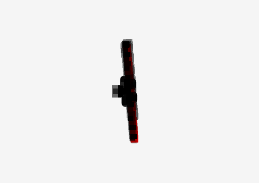 CCCCCCCCCCCCCCCCCC(=O)OCCN(O)CCOC(=O)CCCCCCCCCCCCCCCCC